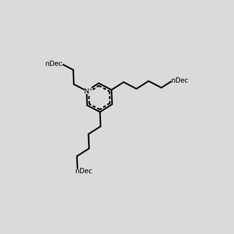 CCCCCCCCCCCCCCc1cc(CCCCCCCCCCCCCC)c[n+](CCCCCCCCCCCC)c1